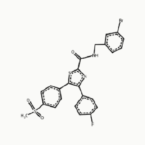 CS(=O)(=O)c1ccc(-c2sc(C(=O)NCc3cccc(Br)c3)nc2-c2ccc(F)cc2)cc1